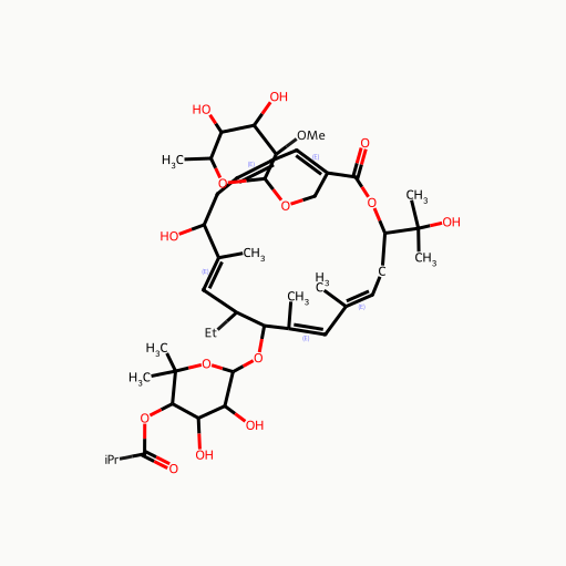 CCC1/C=C(\C)C(O)C/C=C/C=C(\COC2OC(C)C(O)C(O)C2OC)C(=O)OC(C(C)(C)O)C/C=C(C)/C=C(\C)C1OC1OC(C)(C)C(OC(=O)C(C)C)C(O)C1O